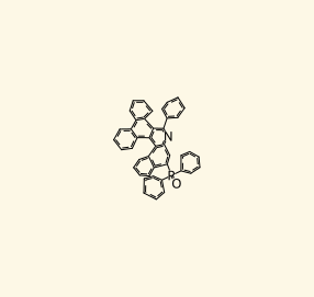 O=P(c1ccccc1)(c1ccccc1)c1cc2nc(-c3ccccc3)c3c4ccccc4c4ccccc4c3c2c2ccccc12